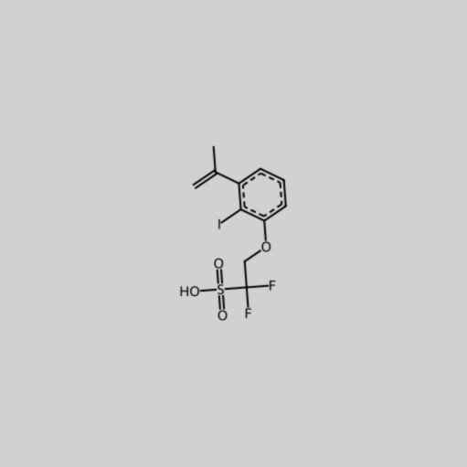 C=C(C)c1cccc(OCC(F)(F)S(=O)(=O)O)c1I